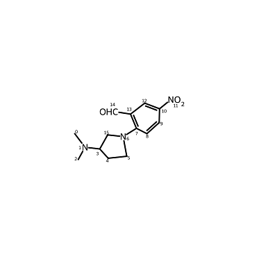 CN(C)C1CCN(c2ccc([N+](=O)[O-])cc2C=O)C1